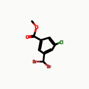 COC(=O)c1cc(Cl)cc(C(Br)Br)c1